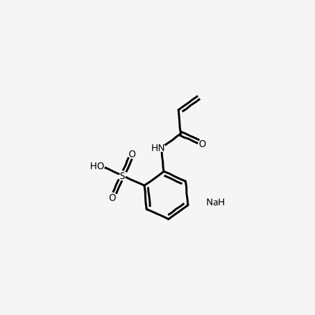 C=CC(=O)Nc1ccccc1S(=O)(=O)O.[NaH]